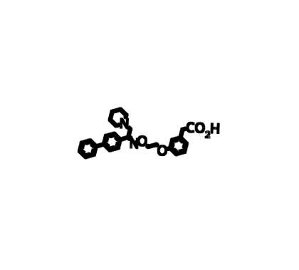 O=C(O)Cc1cccc(OCCO/N=C(\CN2CCCCC2)c2ccc(-c3ccccc3)cc2)c1